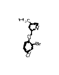 Cc1ccnc(COc2ccc(Cl)cc2Br)c1